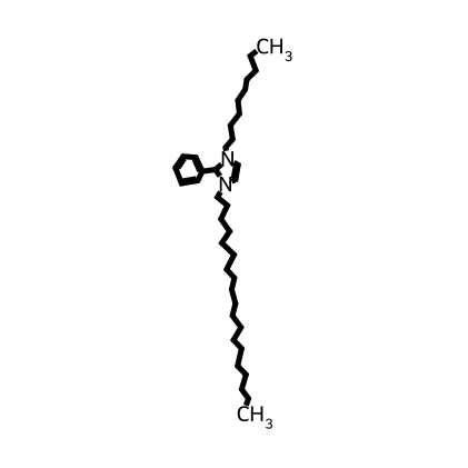 CCCCCCCCCCCCCCCCCCCN1C=CN(CCCCCCCCCC)C1c1ccccc1